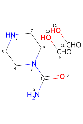 NC(=O)N1CCNCC1.O=CO.O=CO